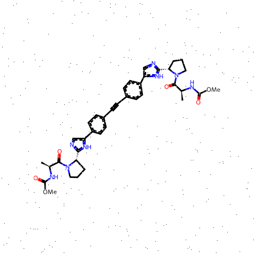 COC(=O)N[C@@H](C)C(=O)N1CCC[C@H]1c1ncc(-c2ccc(C#Cc3ccc(-c4cnc([C@@H]5CCCN5C(=O)[C@H](C)NC(=O)OC)[nH]4)cc3)cc2)[nH]1